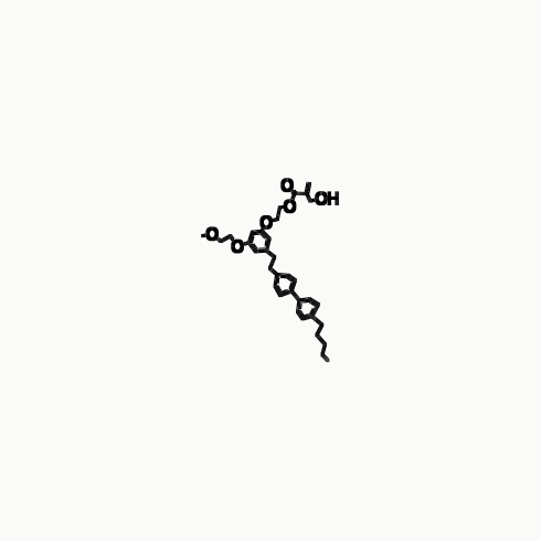 C=C(CO)C(=O)OCCOc1cc(CCc2ccc(-c3ccc(CCCCC)cc3)cc2)cc(OCCOC)c1